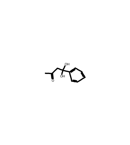 CC(=O)CC(O)(O)c1ccccc1